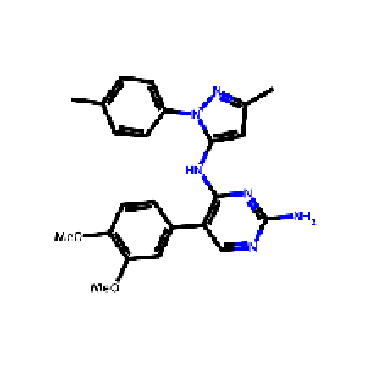 COc1ccc(-c2cnc(N)nc2Nc2cc(C)nn2-c2ccc(C)cc2)cc1OC